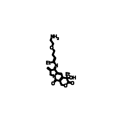 C=C1Cn2c(cc3c(c2=O)COC(=O)[C@]3(O)CC)/C1=N/C(=C/CCOCCN)CC